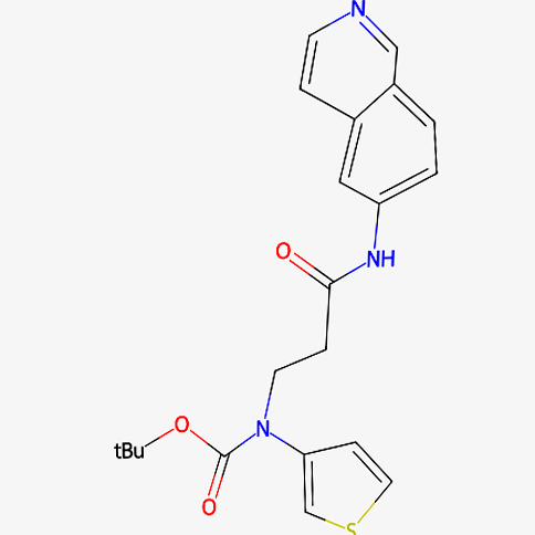 CC(C)(C)OC(=O)N(CCC(=O)Nc1ccc2cnccc2c1)c1ccsc1